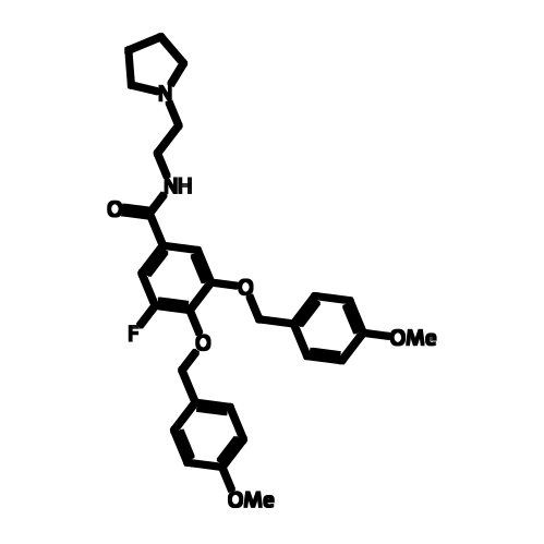 COc1ccc(COc2cc(C(=O)NCCN3CCCC3)cc(F)c2OCc2ccc(OC)cc2)cc1